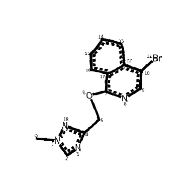 Cn1cnc(COc2ncc(Br)c3ccccc23)n1